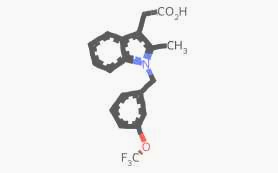 Cc1c(CC(=O)O)c2ccccc2n1Cc1cccc(OC(F)(F)F)c1